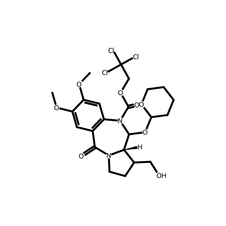 COc1cc2c(cc1OC)N(C(=O)OCC(Cl)(Cl)Cl)C(OC1CCCCO1)[C@@H]1C(CO)CCN1C2=O